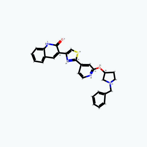 O=c1[nH]c2ccccc2cc1-c1csc(-c2ccnc(OC3CCN(Cc4ccccc4)C3)c2)n1